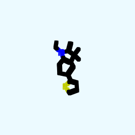 C=C1N(CC)c2ccc(-c3cccs3)cc2C1(C)C